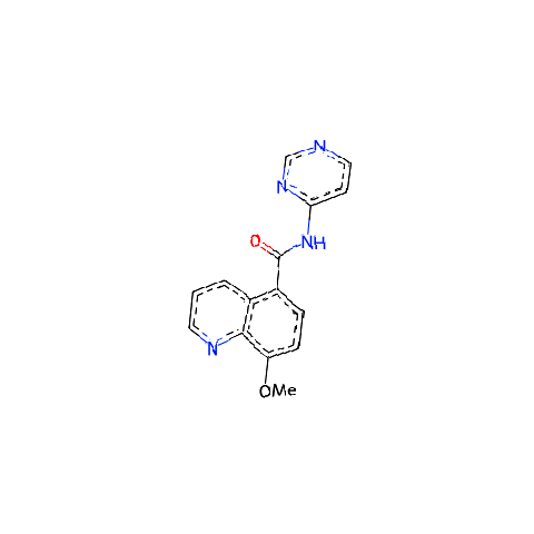 COc1ccc(C(=O)Nc2ccncn2)c2cccnc12